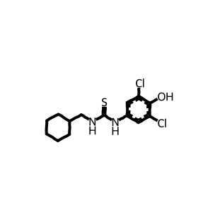 Oc1c(Cl)cc(NC(=S)NCC2CCCCC2)cc1Cl